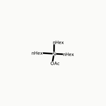 [CH2]C(=O)O[Si](CCCCCC)(CCCCCC)CCCCCC